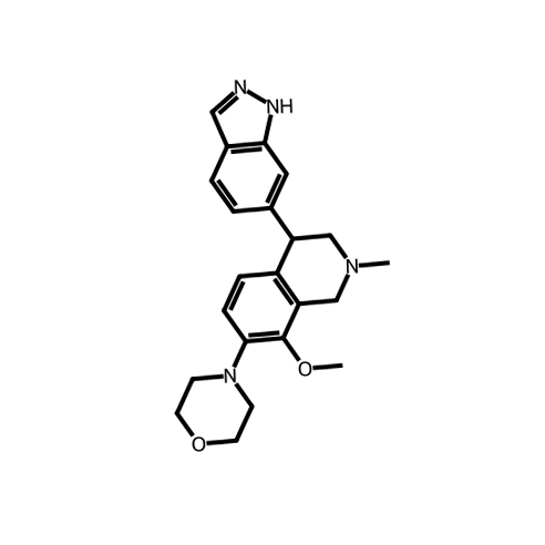 COc1c(N2CCOCC2)ccc2c1CN(C)CC2c1ccc2cn[nH]c2c1